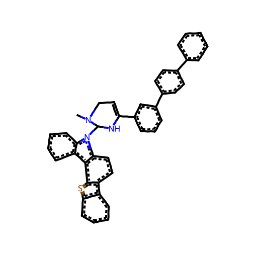 CN1CC=C(c2cccc(-c3ccc(-c4ccccc4)cc3)c2)NC1n1c2ccccc2c2c3sc4ccccc4c3ccc21